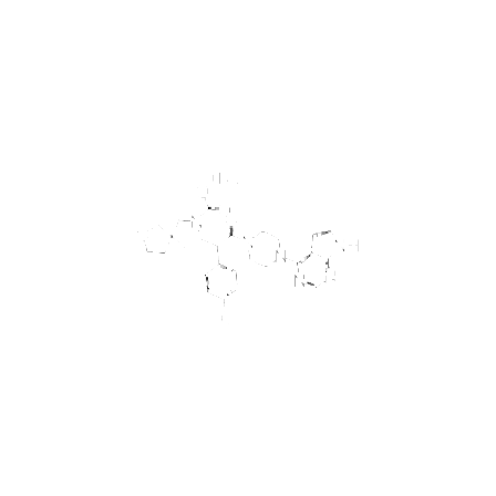 CC(C)(C)OC(=O)N1CC2(CCOC2)C[C@H]1[C@@H](C(=O)N1CCN(c2ncnc3[nH]ccc23)CC1)c1ccc(Cl)cc1